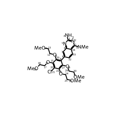 CNc1nc(N)nc2cc(-c3c(OCCOC)c(OCCOC)c(Cl)c(OCCOC)c3OCCOC)ccc12